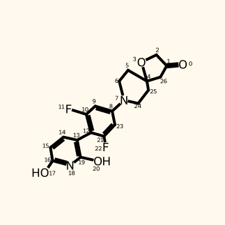 O=C1COC2(CCN(c3cc(F)c(-c4ccc(O)nc4O)c(F)c3)CC2)C1